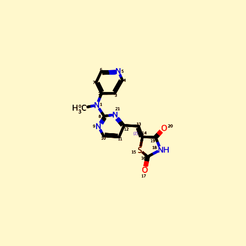 CN(c1ccncc1)c1nccc(/C=C2\SC(=O)NC2=O)n1